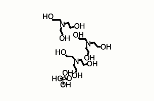 O=P(O)(O)O.OCCN(CCO)CCO.OCCN(CCO)CCO.OCCN(CCO)CCO